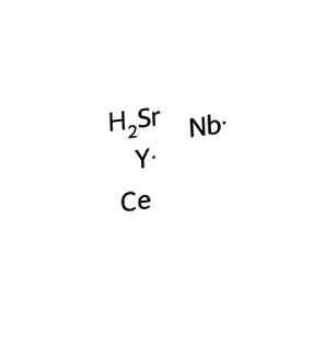 [Ce].[Nb].[SrH2].[Y]